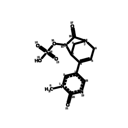 Cn1cc(C2=CCN3CC2N(OS(=O)(=O)O)C3=O)cnc1=O